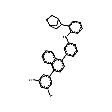 CC(C)c1cc(-c2ccc(-c3cccc(Nc4ccccc4C4CC5CCC4C5)c3)c3ccccc23)cc(C(C)C)c1